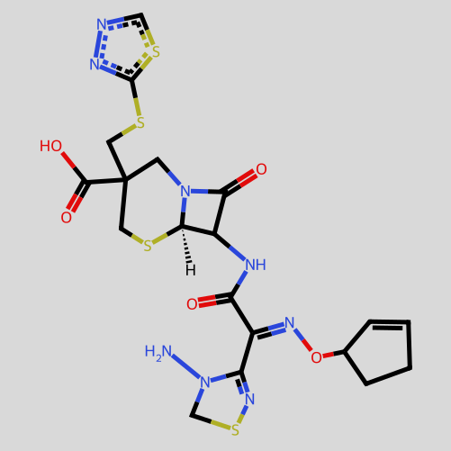 NN1CSN=C1C(=NOC1C=CCC1)C(=O)NC1C(=O)N2CC(CSc3nncs3)(C(=O)O)CS[C@H]12